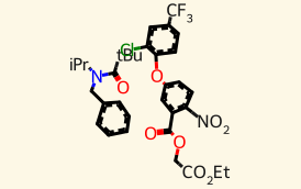 CC(C)N(Cc1ccccc1)C(=O)C(C)(C)C.CCOC(=O)COC(=O)c1cc(Oc2ccc(C(F)(F)F)cc2Cl)ccc1[N+](=O)[O-]